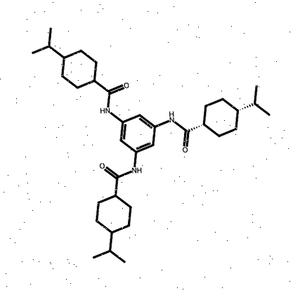 CC(C)C1CCC(C(=O)Nc2cc(NC(=O)C3CCC(C(C)C)CC3)cc(NC(=O)[C@H]3CC[C@@H](C(C)C)CC3)c2)CC1